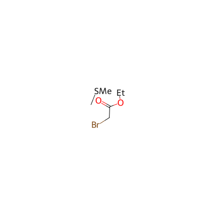 CCOC(=O)CBr.CSC